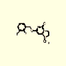 CN1CCn2c1cc(OCc1cccc(F)c1F)nc2=O